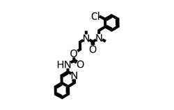 CN(CCOC(=O)Nc1cc2ccccc2cn1)C(=O)N(C)Cc1ccccc1Cl